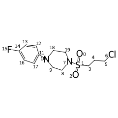 O=S(=O)(CCCCl)N1CCN(c2ccc(F)cc2)CC1